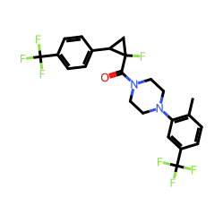 Cc1ccc(C(F)(F)F)cc1N1CCN(C(=O)C2(F)CC2c2ccc(C(F)(F)F)cc2)CC1